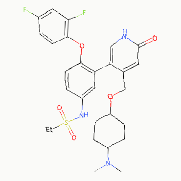 CCS(=O)(=O)Nc1ccc(Oc2ccc(F)cc2F)c(-c2c[nH]c(=O)cc2COC2CCC(N(C)C)CC2)c1